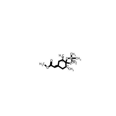 COC(=O)C=C1C[C@@H](C)C(O[Si](C)(C)C)(SC)[C@H](C)C1